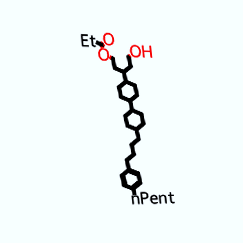 CCCCCc1ccc(CCCCC2CCC(C3CCC(C(CCO)CCOC(=O)CC)CC3)CC2)cc1